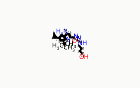 CC(C)(C)c1cc(C2CC2)cc2c(N)cc(-c3nnc(NCCCCO)o3)nc12